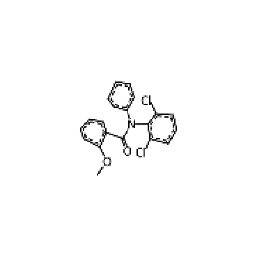 COc1ccccc1C(=O)N(c1ccccc1)c1c(Cl)cccc1Cl